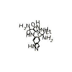 CC[C@@H](Nc1nc(Nc2ccc3cn[nH]c3c2)c(C(N)=O)c(=O)[nH]1)C(N)=O